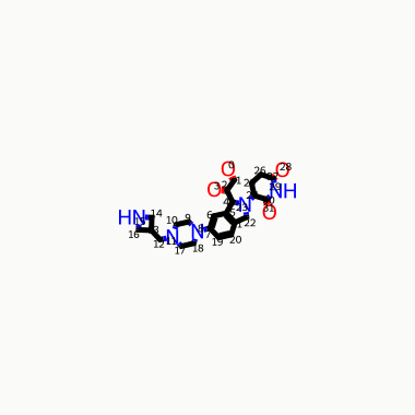 O=CC(=O)C1c2cc(N3CCN(CC4CNC4)CC3)ccc2CN1C1CCC(=O)NC1=O